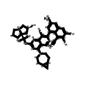 [2H]C([2H])(Oc1nc(N2CCC3CC3CC2)c2cnc(-c3cc(N)cc4cc(F)c(F)c(C#C)c34)c(F)c2n1)[C@@]12CCCN1C[C@H](F)C2